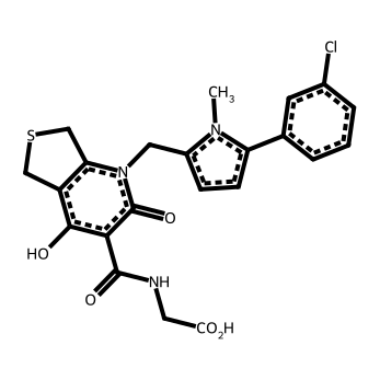 Cn1c(Cn2c3c(c(O)c(C(=O)NCC(=O)O)c2=O)CSC3)ccc1-c1cccc(Cl)c1